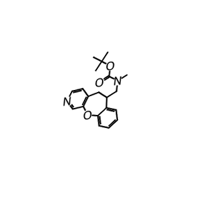 CN(CC1Cc2ccncc2Oc2ccccc21)C(=O)OC(C)(C)C